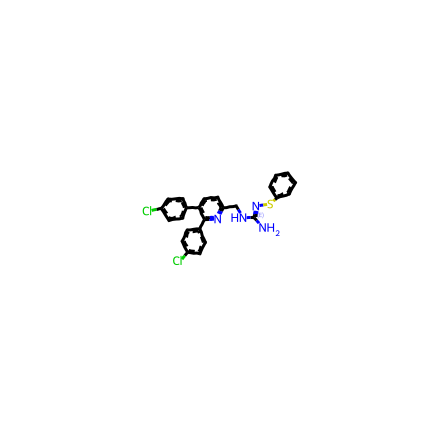 N/C(=N\Sc1ccccc1)NCc1ccc(-c2ccc(Cl)cc2)c(-c2ccc(Cl)cc2)n1